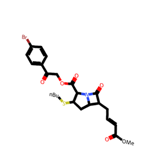 CCCCSC1CC2C(CC=CC(=O)OC)C(=O)N2C1C(=O)OCC(=O)c1ccc(Br)cc1